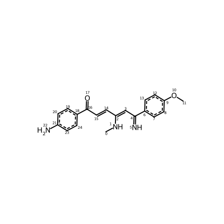 CNC(=C\C(=N)c1ccc(OC)cc1)/C=C/C(=O)c1ccc(N)cc1